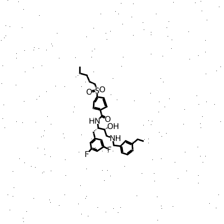 CCCCCS(=O)(=O)c1ccc(C(=O)N[C@@H](Cc2cc(F)cc(F)c2)[C@H](O)CNCc2cccc(CC)c2)cc1